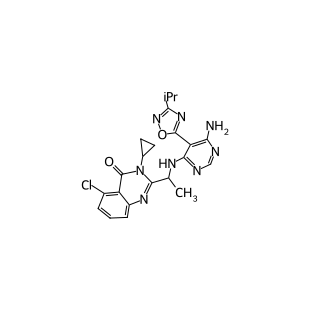 CC(C)c1noc(-c2c(N)ncnc2NC(C)c2nc3cccc(Cl)c3c(=O)n2C2CC2)n1